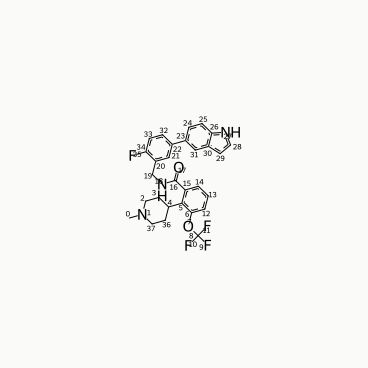 CN1CCC(c2c(OC(F)(F)F)cccc2C(=O)NCc2cc(-c3ccc4[nH]ccc4c3)ccc2F)CC1